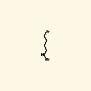 CCC(C)BCCCCC(C)C